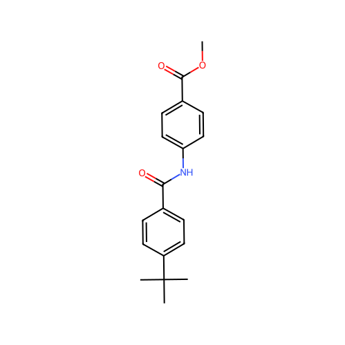 COC(=O)c1ccc(NC(=O)c2ccc(C(C)(C)C)cc2)cc1